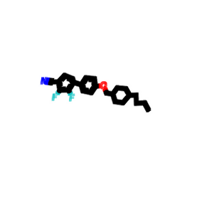 CCCCC1CCC(COc2ccc(-c3ccc(C#N)c(F)c3F)cc2)CC1